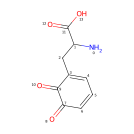 NC(CC1=CC=CC(=O)C1=O)C(=O)O